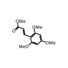 COC(=O)C=Cc1c(OC)cc(OC)cc1OC